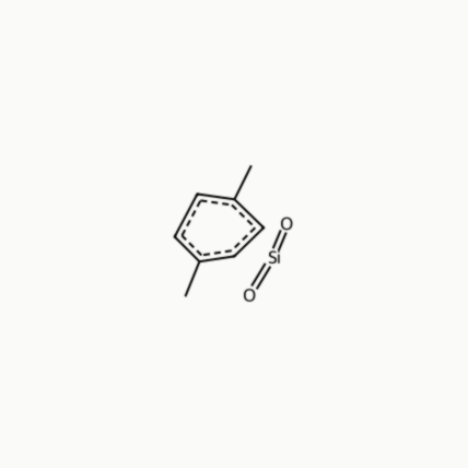 Cc1ccc(C)cc1.O=[Si]=O